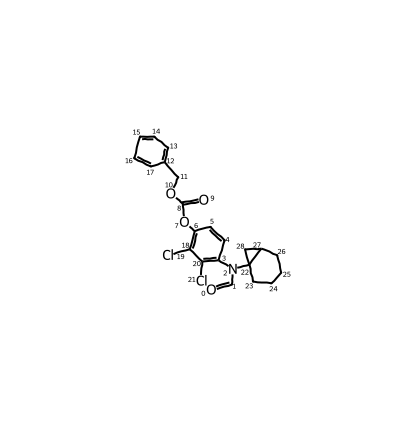 O=CN(c1ccc(OC(=O)OCc2ccccc2)c(Cl)c1Cl)C12CCCCC1C2